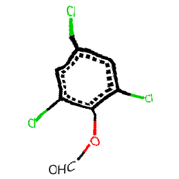 O=COc1c(Cl)cc(Cl)cc1Cl